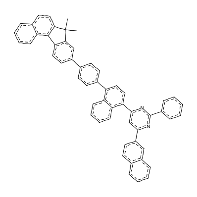 CC1(C)c2cc(-c3ccc(-c4ccc(-c5cc(-c6ccc7ccccc7c6)nc(-c6ccccc6)n5)c5ccccc45)cc3)ccc2-c2c1ccc1ccccc21